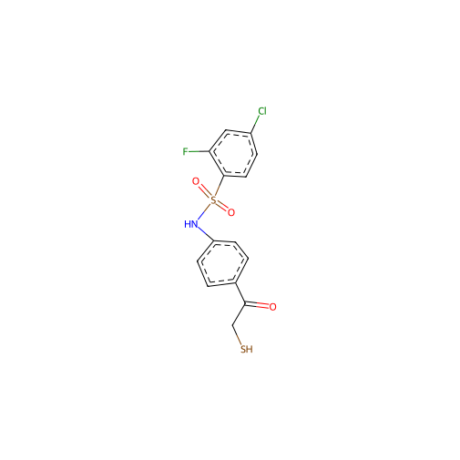 O=C(CS)c1ccc(NS(=O)(=O)c2ccc(Cl)cc2F)cc1